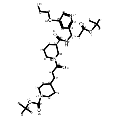 CC(C)(C)OC(=O)C[C@H](NC(=O)[C@@H]1CCCN(C(=O)CCC2CCN(C(=O)OC(C)(C)C)CC2)C1)c1cncc(OCCI)c1